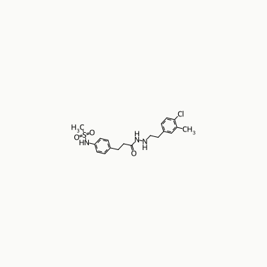 Cc1cc(CCNNC(=O)CCc2ccc(NS(C)(=O)=O)cc2)ccc1Cl